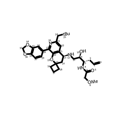 C=CC[C@H](NC(=O)COC)[C@H](O)CN[C@H]1CC2(CCC2)Oc2c1cc(CC(C)(C)C)nc2-c1ccc2c(c1)OCO2